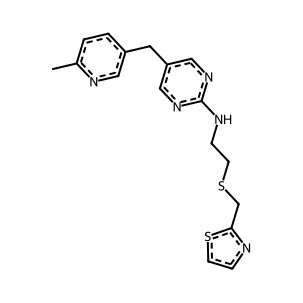 Cc1ccc(Cc2cnc(NCCSCc3nccs3)nc2)cn1